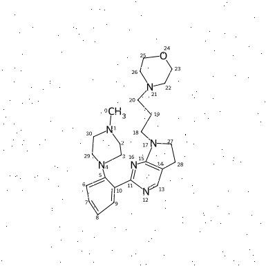 CN1CCN(c2ccccc2-c2ncc3c(n2)N(CCCN2CCOCC2)CC3)CC1